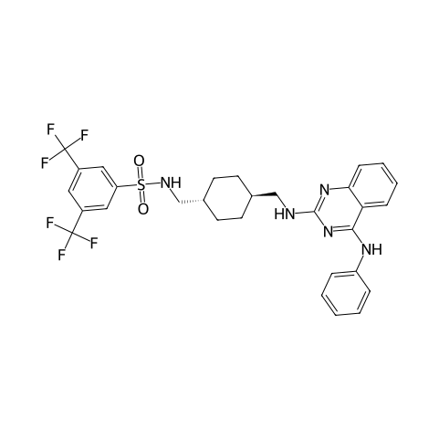 O=S(=O)(NC[C@H]1CC[C@H](CNc2nc(Nc3ccccc3)c3ccccc3n2)CC1)c1cc(C(F)(F)F)cc(C(F)(F)F)c1